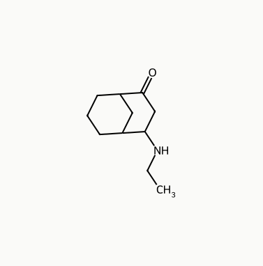 CCNC1CC(=O)C2CCCC1C2